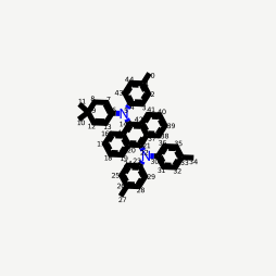 Cc1ccc(N(C2=CCC(C)(C)C=C2)c2c3ccccc3c(N(c3ccc(C)cc3)c3ccc(C)cc3)c3ccccc23)cc1